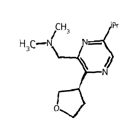 CC(C)c1cnc([C@H]2CCOC2)c(CN(C)C)n1